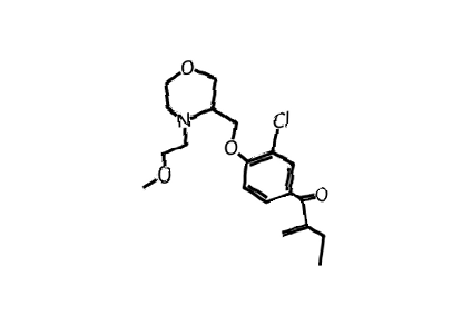 C=C(CC)C(=O)c1ccc(OCC2COCCN2CCOC)c(Cl)c1